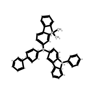 C[Si]1(C)c2ccccc2-c2ccc(N(c3ccc(-c4ccccc4)cc3)c3ccc4c(c3)c3ccccc3n4-c3ccccc3)cc21